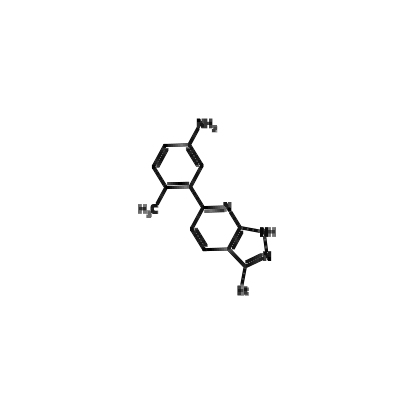 CCc1n[nH]c2nc(-c3cc(N)ccc3C)ccc12